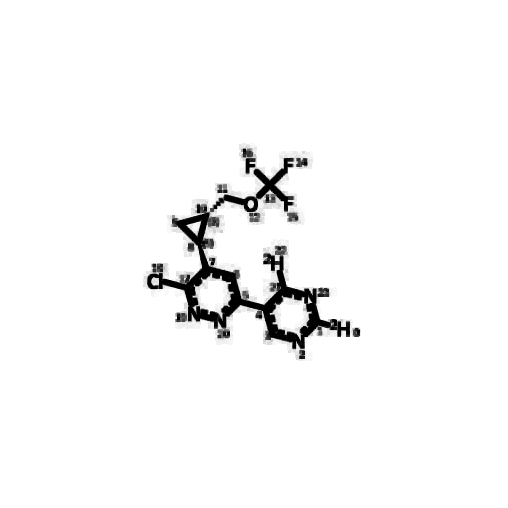 [2H]c1ncc(-c2cc([C@H]3C[C@@H]3COC(F)(F)F)c(Cl)nn2)c([2H])n1